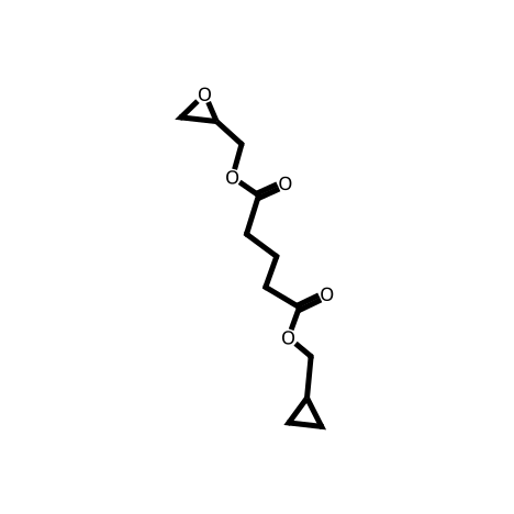 O=C(CCCC(=O)OCC1CO1)OCC1CC1